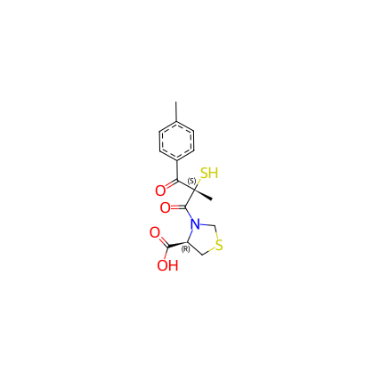 Cc1ccc(C(=O)[C@](C)(S)C(=O)N2CSC[C@H]2C(=O)O)cc1